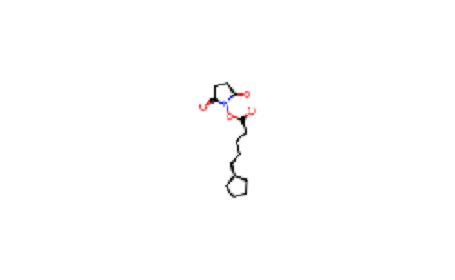 O=C(CCCCC1CCCC1)ON1C(=O)CCC1=O